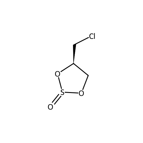 O=S1OC[C@H](CCl)O1